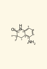 CC1(C)Cc2c(N)cccc2NC1=O